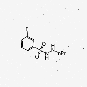 CCCNNS(=O)(=O)c1cccc(F)c1